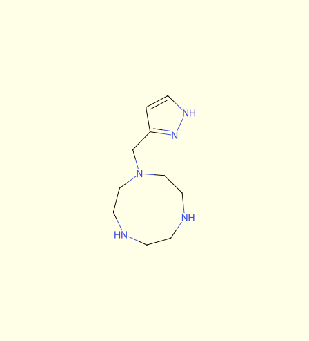 c1cc(CN2CCNCCNCC2)n[nH]1